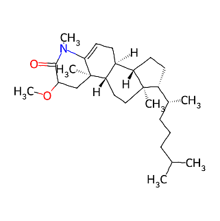 COC1C[C@@]2(C)C(=CC[C@H]3[C@@H]4CC[C@H]([C@H](C)CCCC(C)C)[C@@]4(C)CC[C@@H]32)N(C)C1=O